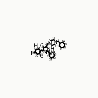 CC1=C(CN2CCN(CC3CCCCC3)CC2)NC(c2ccccn2)=NC1c1ccc(F)cc1Cl